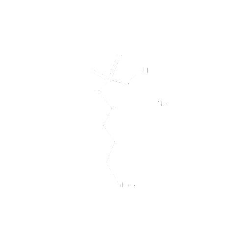 CCCCCCCCCCCS(=O)(=O)OS.[Na]